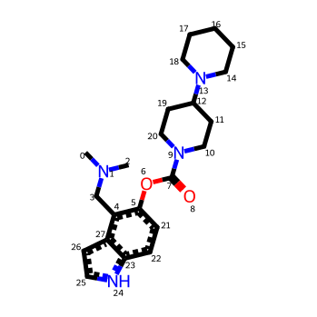 CN(C)Cc1c(OC(=O)N2CCC(N3CCCCC3)CC2)ccc2[nH]ccc12